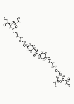 C=CC(=O)OCC(COCCCCOc1ccc(OC(=O)c2ccc(OCCCCOCC(COC(=O)C=C)OC(=O)C=C)cc2)cc1)OC(=O)C=C